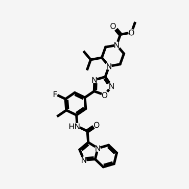 COC(=O)N1CCN(c2noc(-c3cc(F)c(C)c(NC(=O)c4cnc5ccccn45)c3)n2)C(C(C)C)C1